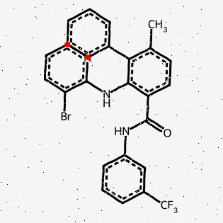 Cc1ccc(C(=O)Nc2cccc(C(F)(F)F)c2)c(Nc2ncccc2Br)c1-c1ccccc1